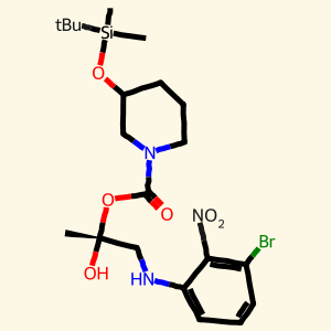 CC(C)(C)[Si](C)(C)OC1CCCN(C(=O)O[C@@](C)(O)CNc2cccc(Br)c2[N+](=O)[O-])C1